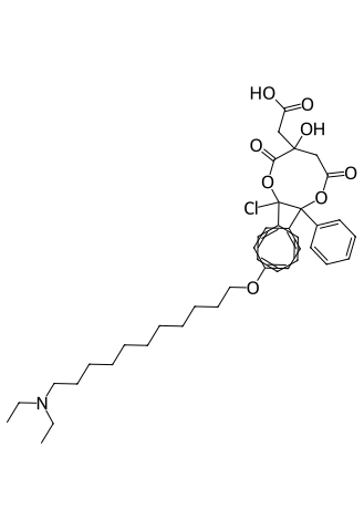 CCN(CC)CCCCCCCCCCCOc1ccc(C2(c3ccccc3)OC(=O)CC(O)(CC(=O)O)C(=O)OC2(Cl)c2ccccc2)cc1